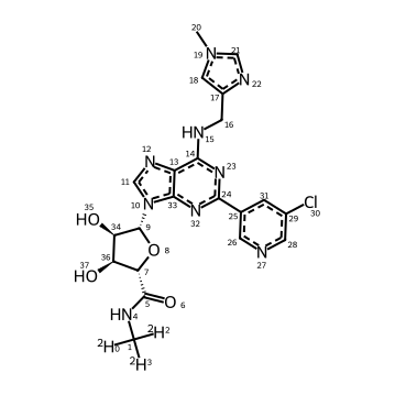 [2H]C([2H])([2H])NC(=O)[C@H]1O[C@@H](n2cnc3c(NCc4cn(C)cn4)nc(-c4cncc(Cl)c4)nc32)[C@H](O)[C@@H]1O